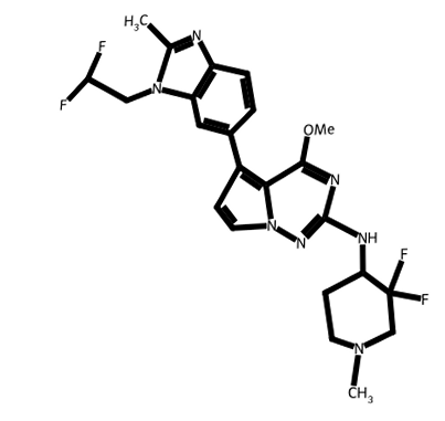 COc1nc(NC2CCN(C)CC2(F)F)nn2ccc(-c3ccc4nc(C)n(CC(F)F)c4c3)c12